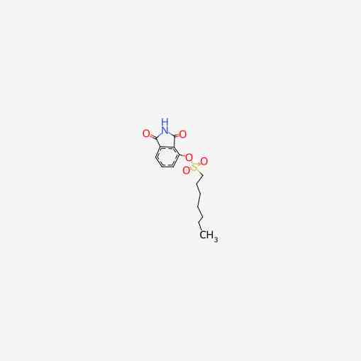 CCCCCCCS(=O)(=O)Oc1cccc2c1C(=O)NC2=O